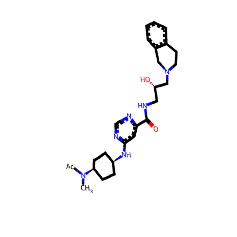 CC(=O)N(C)[C@H]1CC[C@@H](Nc2cc(C(=O)NC[C@H](O)CN3CCc4ccccc4C3)ncn2)CC1